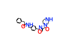 O=C(Cc1ccccc1)NCc1ccc(-c2nc(C(=O)N3CCCNCC3)co2)cc1